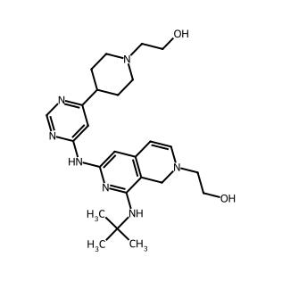 CC(C)(C)Nc1nc(Nc2cc(C3CCN(CCO)CC3)ncn2)cc2c1CN(CCO)C=C2